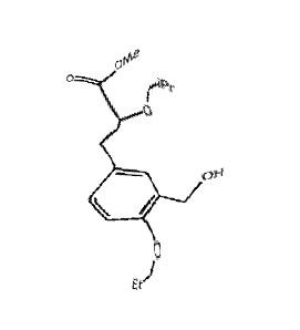 CCOc1ccc(CC(OC(C)C)C(=O)OC)cc1CO